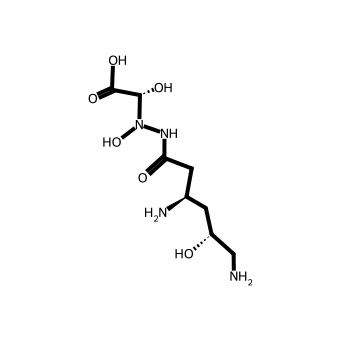 NC[C@H](O)C[C@@H](N)CC(=O)NN(O)[C@@H](O)C(=O)O